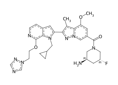 COc1cc(C(=O)N2C[C@H](N)C[C@@H](F)C2)cn2nc(-c3cc4ccnc(OCCn5cncn5)c4n3CC3CC3)c(C)c12